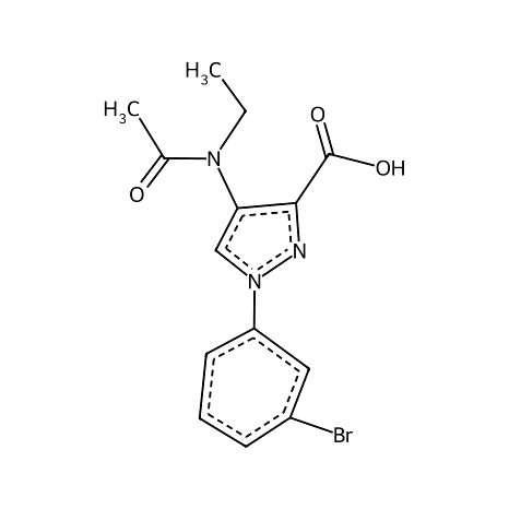 CCN(C(C)=O)c1cn(-c2cccc(Br)c2)nc1C(=O)O